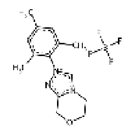 Cc1cc(C)c(-[n+]2cn3c(n2)COCC3)c(C)c1.F[B-](F)(F)F